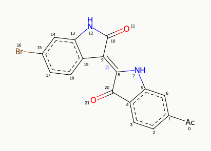 CC(=O)c1ccc2c(c1)N/C(=C1\C(=O)Nc3cc(Br)ccc31)C2=O